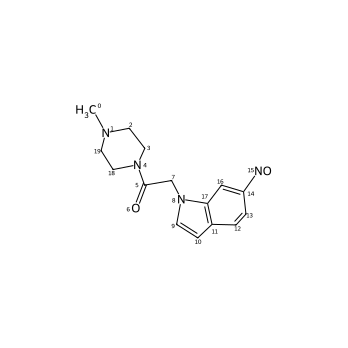 CN1CCN(C(=O)Cn2ccc3ccc(N=O)cc32)CC1